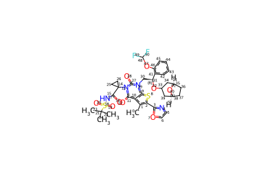 Cc1c(-c2ncco2)sc2c1c(=O)n(C1(C(=O)NS(=O)(=O)C(C)(C)C)CC1)c(=O)n2C[C@H](OC1C[C@H]2CC[C@@H](C1)O2)c1ccccc1OC(F)F